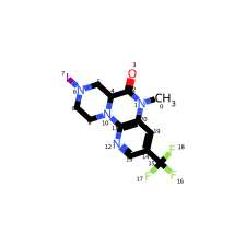 CN1C(=O)C2CN(I)CCN2c2ncc(C(F)(F)F)cc21